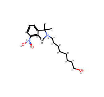 CC1(C)c2cccc([N+](=O)[O-])c2[Se]N1CCCCCCCCO